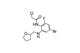 O=C(CCl)Nc1c(F)cc(Br)cc1NCC1CCCO1